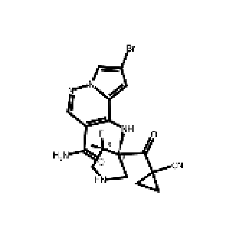 C[C@]1(F)CNC[C@@]1(Nc1c(C(N)=O)cnn2cc(Br)cc12)C(=O)C1(C#N)CC1